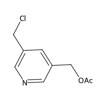 CC(=O)OCc1cncc(CCl)c1